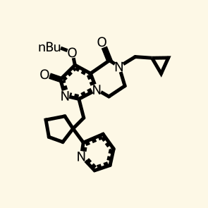 CCCCOc1c2n(c(CC3(c4ccccn4)CCCC3)nc1=O)CCN(CC1CC1)C2=O